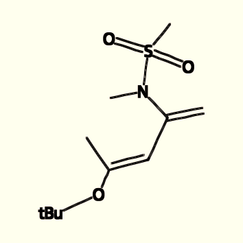 C=C(/C=C(\C)OC(C)(C)C)N(C)S(C)(=O)=O